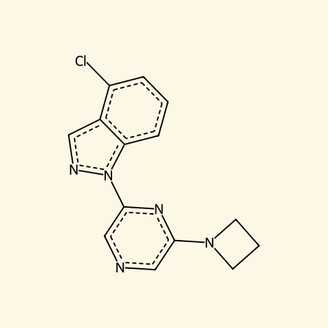 Clc1cccc2c1cnn2-c1cncc(N2CCC2)n1